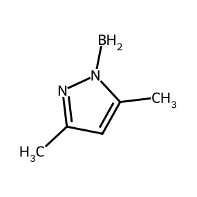 Bn1nc(C)cc1C